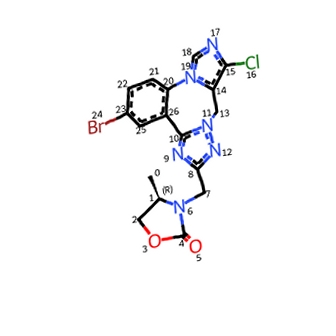 C[C@@H]1COC(=O)N1Cc1nc2n(n1)Cc1c(Cl)ncn1-c1ccc(Br)cc1-2